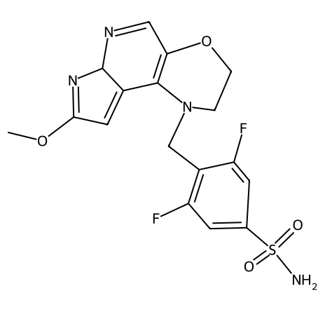 COC1=NC2N=CC3=C(C2=C1)N(Cc1c(F)cc(S(N)(=O)=O)cc1F)CCO3